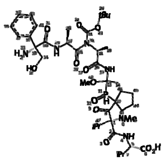 CN[C@@](C(=O)N[C@H](C(=O)O)C(C)C)(C(=O)C1([PH](=O)C(C)(NC(=O)[C@H](C)N(C(=O)OC(C)(C)C)C(=O)[C@H](C)NC(=O)[C@@](N)(CO)c2ccccc2)OC)CCCC1)C(C)C